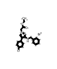 CCOC(=O)C[n+]1cc(-c2ccc(Cl)cc2)c(NCc2ccccc2)s1.[Br-]